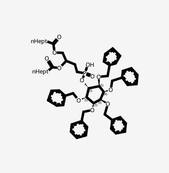 CCCCCCCC(=O)OCC(CCP(=O)(O)O[C@@H]1[C@@H](OCc2ccccc2)[C@H](OCc2ccccc2)[C@@H](OCc2ccccc2)[C@H](OCc2ccccc2)[C@@H]1OCc1ccccc1)OC(=O)CCCCCCC